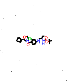 CCC(CN(C)c1ccc(C(=O)N2CCOC(c3ccccc3)C2)c(Cl)c1)NC(=O)OC(C)(C)C